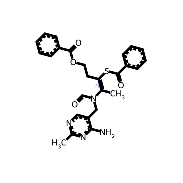 C/C(=C(/CCOC(=O)c1ccccc1)SC(=O)c1ccccc1)N(C=O)Cc1cnc(C)nc1N